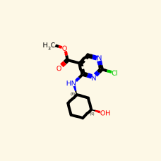 COC(=O)c1cnc(Cl)nc1N[C@@H]1CCC[C@H](O)C1